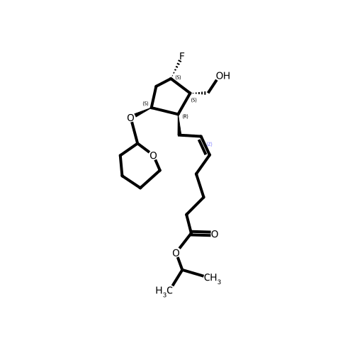 CC(C)OC(=O)CCC/C=C\C[C@@H]1[C@@H](CO)[C@@H](F)C[C@@H]1OC1CCCCO1